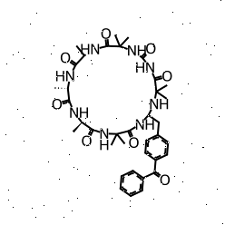 CC1NC(=O)C(C)(C)NC(=O)NC(=O)C(C)(C)NC(Cc2ccc(C(=O)c3ccccc3)cc2)NC(=O)C(C)(C)NC(=O)[C@@H](C)NC(=O)[C@H](C)NC1=O